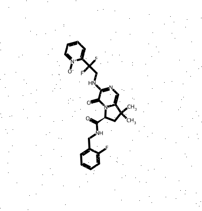 CC1(C)C[C@@H](C(=O)NCc2ccccc2F)n2c1cnc(NCC(F)(F)c1cccc[n+]1[O-])c2=O